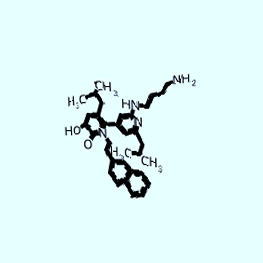 CC(C)Cc1cc(-c2c(CC(C)C)cc(O)c(=O)n2CCc2ccc3ccccc3c2)cc(NCCCCN)n1